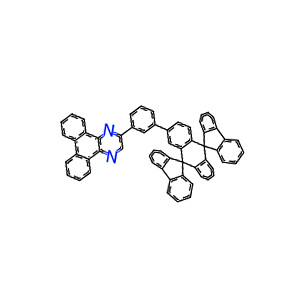 c1cc(-c2ccc3c(c2)C2(c4ccccc4-c4ccccc42)c2ccccc2C32c3ccccc3-c3ccccc32)cc(-c2cnc3c4ccccc4c4ccccc4c3n2)c1